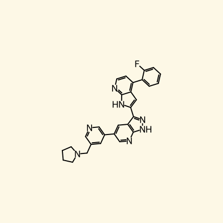 Fc1ccccc1-c1ccnc2[nH]c(-c3n[nH]c4ncc(-c5cncc(CN6CCCC6)c5)cc34)cc12